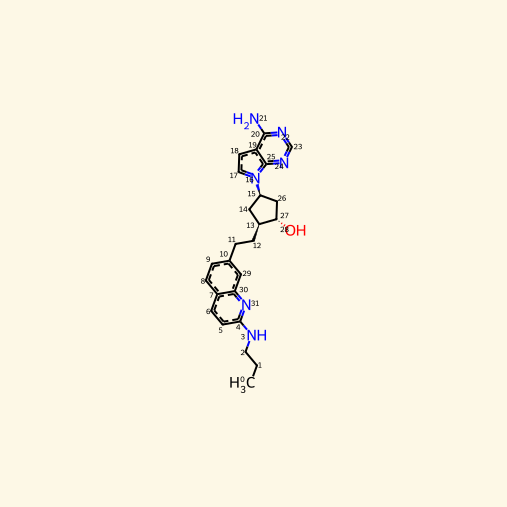 CCCNc1ccc2ccc(CC[C@H]3C[C@@H](n4ccc5c(N)ncnc54)C[C@@H]3O)cc2n1